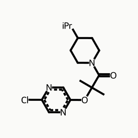 CC(C)C1CCN(C(=O)C(C)(C)Oc2cnc(Cl)cn2)CC1